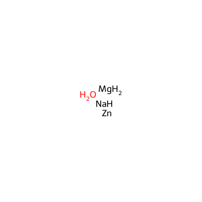 O.[MgH2].[NaH].[Zn]